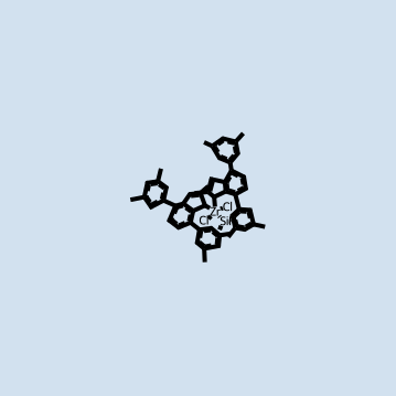 CC1=Cc2c(-c3cc(C)cc(C)c3)ccc(-c3cc(C)cc(C)c3)c2[CH]1[Zr]([Cl])([Cl])([CH]1C(C)=Cc2c(-c3cc(C)cc(C)c3)ccc(-c3cc(C)cc(C)c3)c21)[SiH](C)C